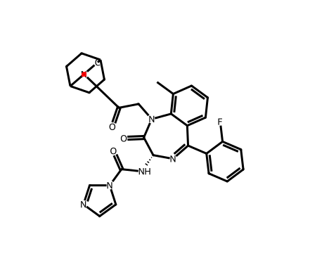 Cc1cccc2c1N(CC(=O)N1CC3CCC(CC3)C1)C(=O)[C@@H](NC(=O)n1ccnc1)N=C2c1ccccc1F